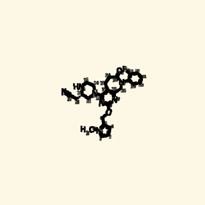 Cn1cccc1COc1nc2c(c(N3CCN[C@@H](CC#N)C3)n1)CCC(=O)N(c1ccccc1F)C2